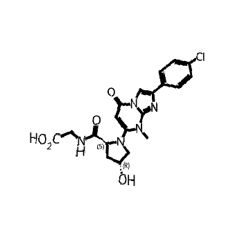 Cn1c(N2C[C@H](O)C[C@H]2C(=O)NCC(=O)O)cc(=O)n2cc(-c3ccc(Cl)cc3)nc12